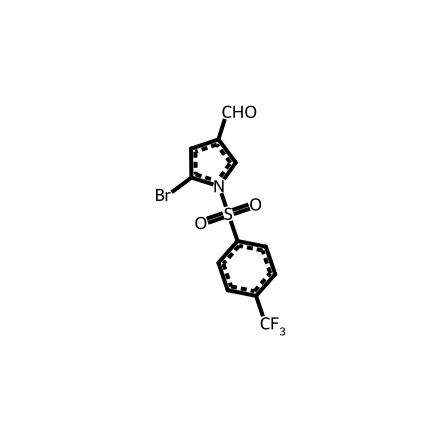 O=Cc1cc(Br)n(S(=O)(=O)c2ccc(C(F)(F)F)cc2)c1